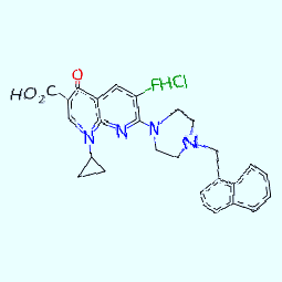 Cl.O=C(O)c1cn(C2CC2)c2nc(N3CCN(Cc4cccc5ccccc45)CC3)c(F)cc2c1=O